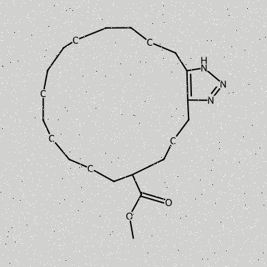 COC(=O)C1CCCCCCCCCCCCCc2[nH]nnc2CCC1